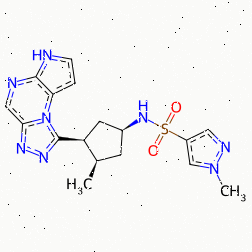 C[C@@H]1C[C@H](NS(=O)(=O)c2cnn(C)c2)C[C@@H]1c1nnc2cnc3[nH]ccc3n12